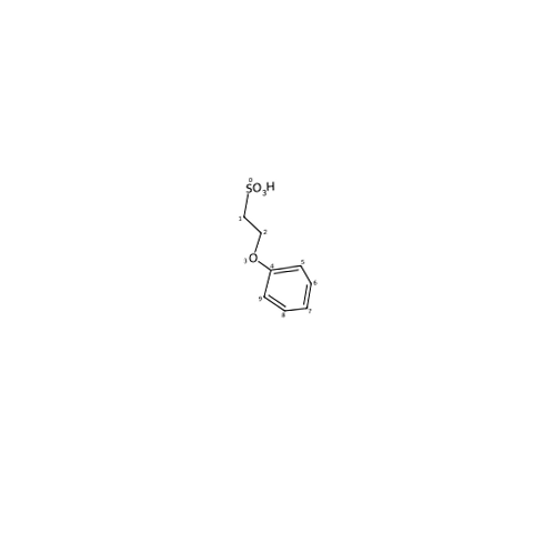 O=S(=O)(O)CCOc1ccccc1